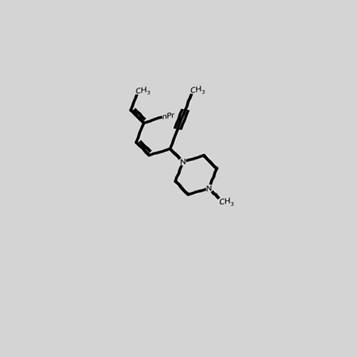 CC#CC(/C=C\C(=C\C)CCC)N1CCN(C)CC1